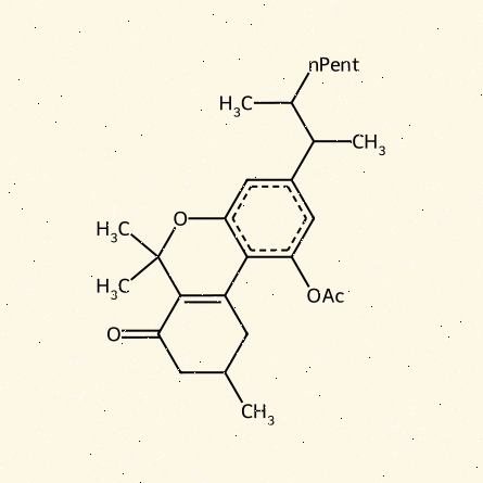 CCCCCC(C)C(C)c1cc(OC(C)=O)c2c(c1)OC(C)(C)C1=C2CC(C)CC1=O